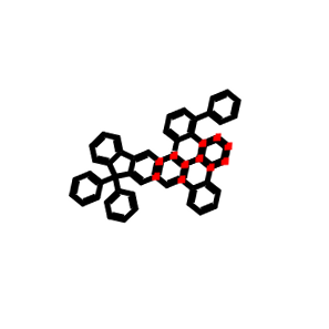 c1ccc(-c2ccccc2-c2c(-c3ccccc3)cccc2N(c2ccc3c(c2)-c2ccccc2C3(c2ccccc2)c2ccccc2)c2cc3ccccc3c3ccccc23)cc1